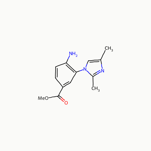 COC(=O)c1ccc(N)c(-n2cc(C)nc2C)c1